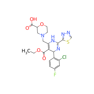 CCOC(=O)C1=C(CN2CCOC(C(=O)O)C2)NC(c2nncs2)=NC1c1ccc(F)cc1Cl